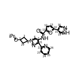 CC(C)O[C@H]1C[C@@H](n2cc(NC(=O)c3ccc(-c4cn[nH]c4)o3)c(-c3ccccn3)n2)C1